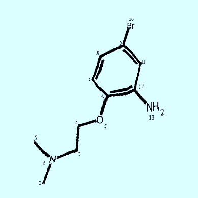 CN(C)CCOc1ccc(Br)cc1N